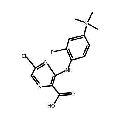 C[Si](C)(C)c1ccc(Nc2nc(Cl)cnc2C(=O)O)c(F)c1